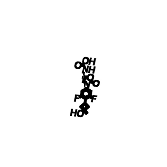 CC1(O)CC(c2c(F)cc(N3C[C@H](CNC(=O)O)OC3=O)cc2F)C1